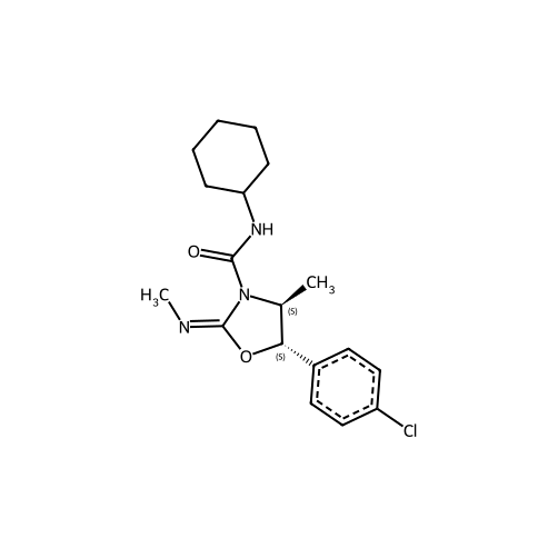 CN=C1O[C@@H](c2ccc(Cl)cc2)[C@H](C)N1C(=O)NC1CCCCC1